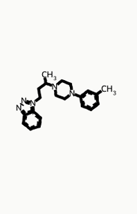 Cc1cccc(N2CCN(C(C)CCn3nnc4ccccc43)CC2)c1